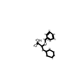 O=C(O)C(CC1CCCCC1)OCc1ccccc1